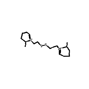 CC1CCCC=[N+]1CCSSCC[N+]1=CCCCC1C